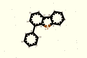 [c]1cccc2sc3c(-c4ccccc4)cccc3c12